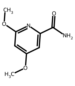 COc1cc(OC)nc(C(N)=O)c1